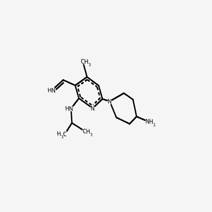 Cc1cc(N2CCC(N)CC2)nc(NC(C)C)c1C=N